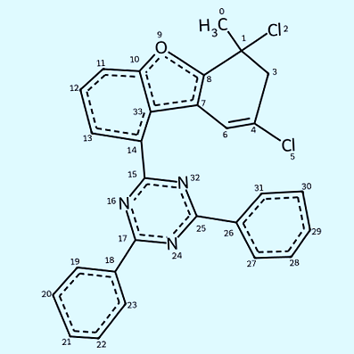 CC1(Cl)CC(Cl)=Cc2c1oc1cccc(-c3nc(-c4ccccc4)nc(-c4ccccc4)n3)c21